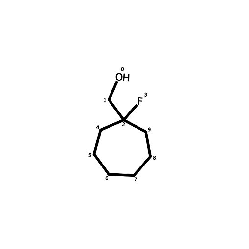 OCC1(F)CCCCCC1